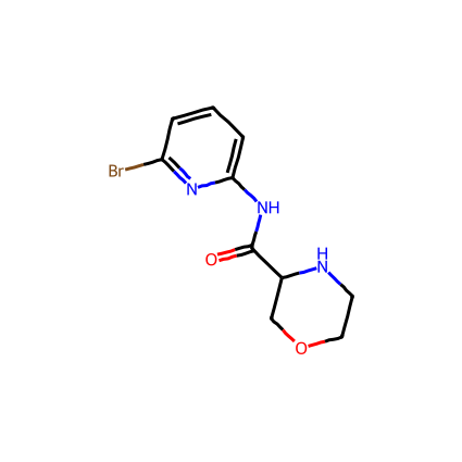 O=C(Nc1cccc(Br)n1)C1COCCN1